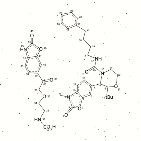 Cn1c(=O)oc2cc(C3C(C(C)(C)C)OCCN3C(=O)NCCCCc3ccccc3)ccc21.O=C(O)NCCOCC(=O)c1ccc2[nH]c(=O)oc2c1